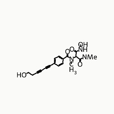 CNC(=O)C(C(=O)NO)N(C)C(=O)c1ccc(C#CC#CCCO)cc1